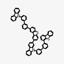 c1cc(-c2cccc(-n3c4ccccc4c4ccccc43)c2)cc(-c2ccc3sc4ccc(-c5ccc6c7ccccc7n(-c7cccc(-c8cccc(-c9cccc%10c9sc9ccccc9%10)c8)c7)c6c5)cc4c3c2)c1